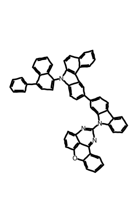 c1ccc(-c2ccc(-n3c4ccc(-c5ccc6c7ccccc7n(-c7nc8c9c(cccc9n7)Oc7ccccc7-8)c6c5)cc4c4c5ccccc5ccc43)c3ccccc23)cc1